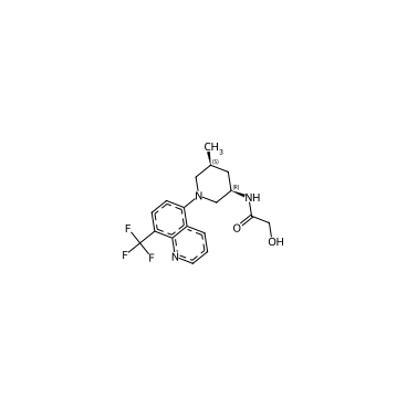 C[C@H]1C[C@@H](NC(=O)CO)CN(c2ccc(C(F)(F)F)c3ncccc23)C1